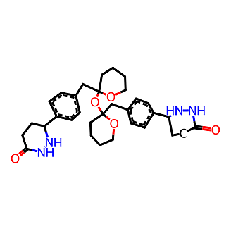 O=C1CCC(c2ccc(CC3(OC4(Cc5ccc(C6CCC(=O)NN6)cc5)CCCCO4)CCCCO3)cc2)NN1